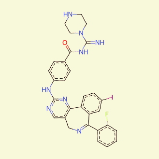 N=C(NC(=O)c1ccc(Nc2ncc3c(n2)-c2ccc(I)cc2C(c2ccccc2F)=NC3)cc1)N1CCNCC1